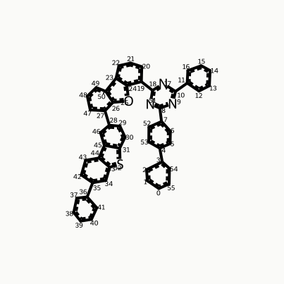 c1ccc(-c2ccc(-c3nc(-c4ccccc4)nc(-c4cccc5c4oc4c(-c6ccc7sc8cc(-c9ccccc9)ccc8c7c6)cccc45)n3)cc2)cc1